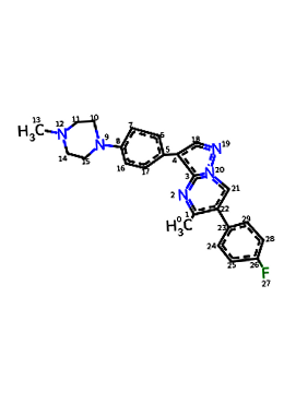 Cc1nc2c(-c3ccc(N4CCN(C)CC4)cc3)cnn2cc1-c1ccc(F)cc1